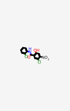 O=C(Nc1ccccc1Cl)c1cc(Cl)c([N+](=O)[O-])cc1O